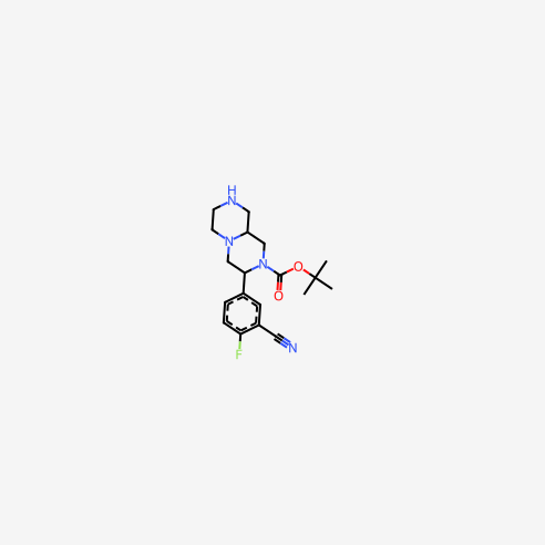 CC(C)(C)OC(=O)N1CC2CNCCN2CC1c1ccc(F)c(C#N)c1